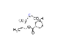 C=CCOC(=O)c1ccccc1.O=C(O)/C=C\C(=O)O